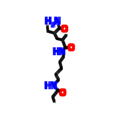 CCC(=O)NCCCCCNC(=O)C(C)CC(CC)C(N)=O